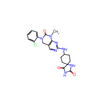 CN1C(=O)N(c2ccccc2Cl)Cc2cnc(NC3CCC4(CC3)NC(=O)NC4=O)nc21